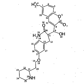 Cc1ccc2oc(=O)c(C(O)C(Cc3cccc(OCCC4CCCCN4)c3)C(N)=O)cc2c1